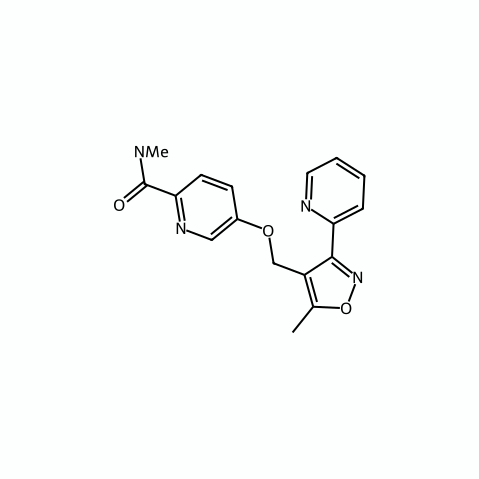 CNC(=O)c1ccc(OCc2c(-c3ccccn3)noc2C)cn1